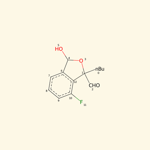 CCCCC1(C=O)OC(O)c2cccc(F)c21